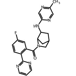 Cc1cnc(NC2CC3CC2N(C(=O)c2cc(F)ccc2-c2ncccn2)C3)cn1